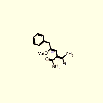 CC/C(C)=C(/C=C(/Cc1ccccc1)OC)C(N)=O